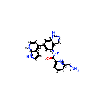 NCc1cccc(C(=O)Nc2cc(-c3ccnc4[nH]ccc34)cc3[nH]ncc23)n1